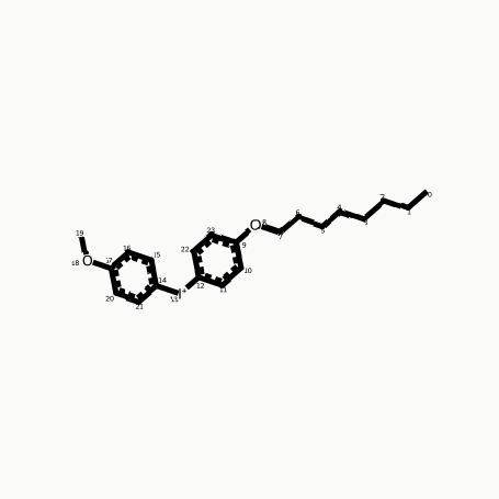 CCCCCCCCOc1ccc([I+]c2ccc(OC)cc2)cc1